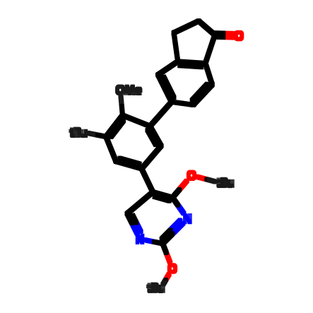 COc1c(-c2ccc3c(c2)CCC3=O)cc(-c2cnc(OC(C)(C)C)nc2OC(C)(C)C)cc1C(C)(C)C